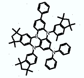 Cc1cc2c(cc1N1c3cc(-c4ccccc4)ccc3B3c4cc5c(cc4N(c4ccc6c(c4)C(C)(C)CC6(C)C)c4cc(N(c6ccccc6)c6ccccc6)cc1c43)C(C)(C)CC5(C)C)C(C)(C)CC2(C)C